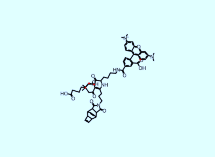 CN(C)c1ccc2c(-c3ccc(C(=O)NCCCCC(NC(CCCN4C(=O)C5C6C=CC(C7C=CC76)C5C4=O)=C4C(=O)CC(C)(C)CC4=O)C(=O)NCCCCCC(=O)O)cc3C(=O)O)c3ccc(=[N+](C)C)cc-3oc2c1